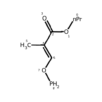 CCCOC(=O)C(C)=COP